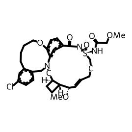 COCC(=O)N[S@]1(=O)=NC(=O)c2ccc3c(c2)N(Cc2ccc(Cl)cc2CCCCO3)C[C@@H]2CC[C@H]2[C@@H](OC)/C=C/CCC1